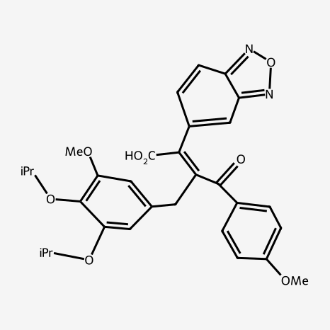 COc1ccc(C(=O)C(Cc2cc(OC)c(OC(C)C)c(OC(C)C)c2)=C(C(=O)O)c2ccc3nonc3c2)cc1